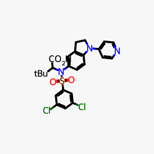 CC(C)(C)C(C(=O)O)N(c1ccc2c(c1)CCN2c1ccncc1)S(=O)(=O)c1cc(Cl)cc(Cl)c1